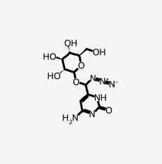 [N-]=[N+]=NC(OC1O[C@H](CO)[C@@H](O)[C@H](O)[C@H]1O)c1cc(N)nc(=O)[nH]1